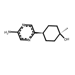 C[C@]1(O)CC[C@@H](c2cnc(N)cn2)CC1